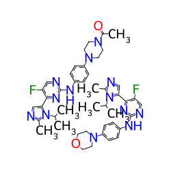 CC(=O)N1CCN(c2ccc(Nc3ncc(F)c(-c4cnc(C)n4C(C)C)n3)cc2)CC1.Cc1ncc(-c2nc(Nc3ccc(N4CCOCC4)cc3)ncc2F)n1C(C)C